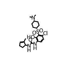 CC1=CCCC1NC(=O)Nc1ccc(Cl)c(S(=O)(=O)[C@H]2CC[C@H](N(C)C)CC2)c1O